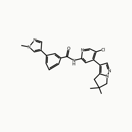 Cn1cc(-c2cccc(C(=O)Nc3cc(-c4cnn5c4CC(C)(C)C5)c(Cl)cn3)c2)cn1